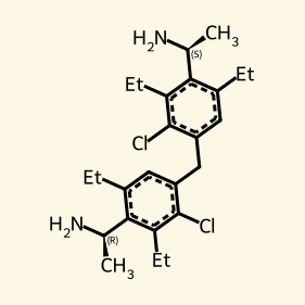 CCc1cc(Cc2cc(CC)c([C@@H](C)N)c(CC)c2Cl)c(Cl)c(CC)c1[C@H](C)N